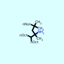 CCCCCCCCCC(C)(C)CC(C)(N)C(CCCCCCCC)CCCCCCCC